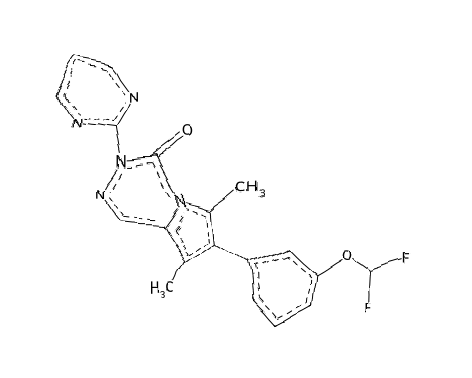 Cc1c(-c2cccc(OC(F)F)c2)c(C)n2c(=O)n(-c3ncccn3)ncc12